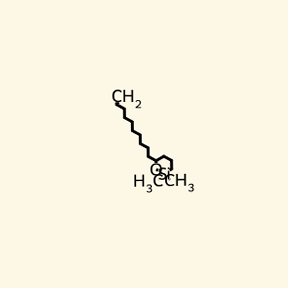 C=CCCCCCCCCC1CCC[Si](C)(C)O1